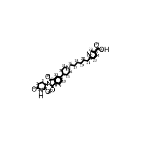 O=C1CCC(N2C(=O)c3ccc(C4CCN(CCCCCCc5ccc(C(=O)O)cn5)CC4)cc3C2=O)C(=O)N1